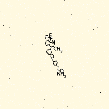 Cc1cnc2c(C(F)(F)F)cccc2c1-c1cccc(OCc2ccc(CCC(N)=O)cc2)c1